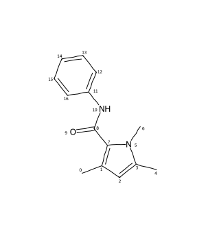 Cc1cc(C)n(C)c1C(=O)Nc1ccccc1